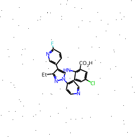 CCc1nn(-c2ccncc2)c(Nc2ccc(Cl)cc2C(=O)O)c1-c1ccc(F)nc1